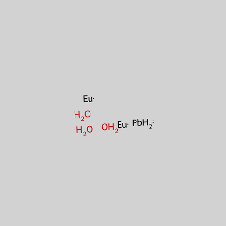 O.O.O.[Eu].[Eu].[PbH2]